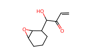 C=CC(=O)C(O)C1CCCC2OC21